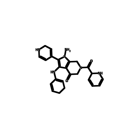 Nn1c2c(c(NC3=CCCC=C3)c1C1=CCNC=C1)C(=O)CN(C(=O)C1C=CC=CN1)C2